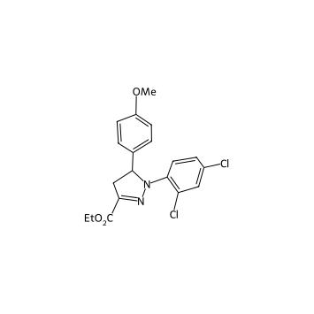 CCOC(=O)C1=NN(c2ccc(Cl)cc2Cl)C(c2ccc(OC)cc2)C1